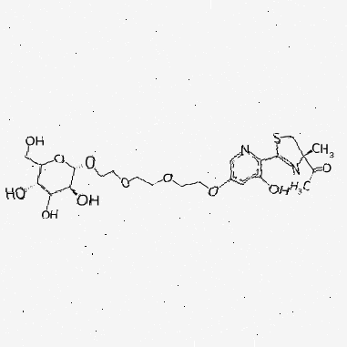 CC(=O)[C@@]1(C)CSC(c2ncc(OCCOCCOCCO[C@H]3OC(CO)[C@@H](O)C(O)[C@@H]3O)cc2O)=N1